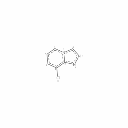 Clc1cccn2cnnc12